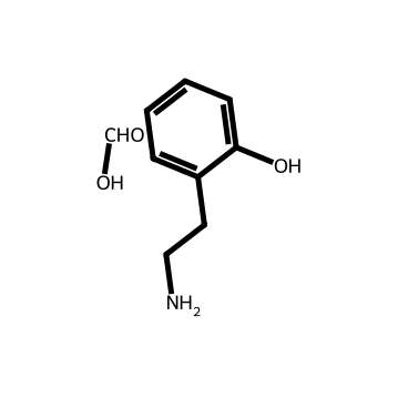 NCCc1ccccc1O.O=CO